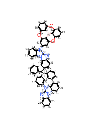 c1ccc([Si](c2ccccc2)(c2cccc(-n3c4ccccc4n4c5ccccc5nc34)c2)c2ccc3nc4n(-c5cc6c7c(c5)Oc5cccc8c5B7c5c(cccc5O6)O8)c5ccccc5n4c3c2)cc1